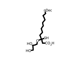 CCCCCCCCCCCCCCCCCCC(S)(CC(=O)O)OCC(O)CO